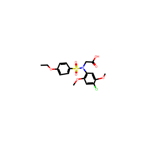 CCOc1ccc(S(=O)(=O)N(CC(=O)O)c2cc(OC)c(Cl)cc2OC)cc1